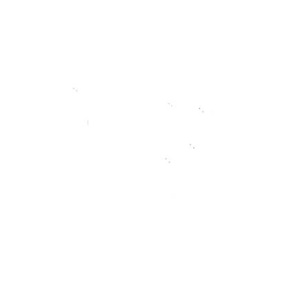 Nc1nc2cc(-c3cccnc3F)ccc2c2[nH]c(CCCO)nc12